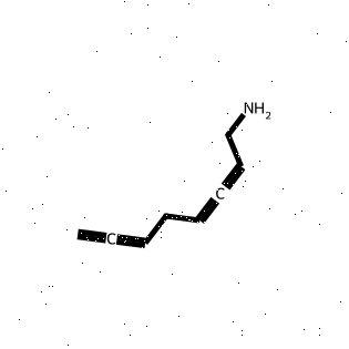 C=C=CCC=C=CCN